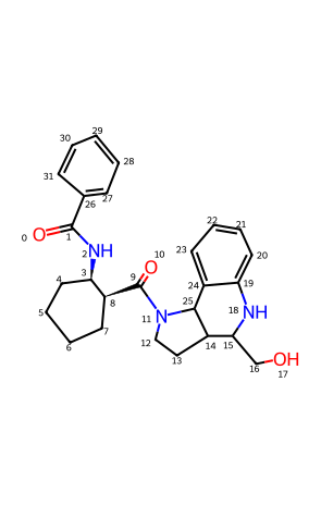 O=C(N[C@@H]1CCCC[C@@H]1C(=O)N1CCC2C(CO)Nc3ccccc3C21)c1ccccc1